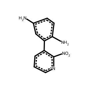 Nc1ccc(N)c(-c2cccnc2[N+](=O)[O-])c1